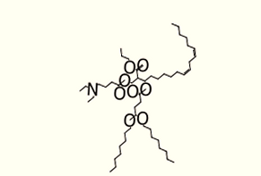 CCCCC/C=C\C/C=C\CCCCCC(OC(=O)CCC(OCCCCCCCC)OCCCCCCCC)C(COC(=O)CCCN(CC)CC)C(=O)OCCC